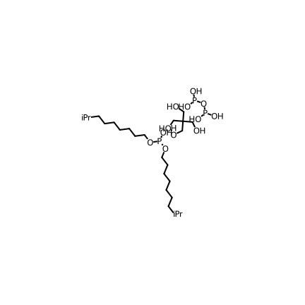 CC(C)CCCCCCCOP(O)OCCCCCCCC(C)C.OCC(CO)(CO)CO.OP(O)OP(O)O